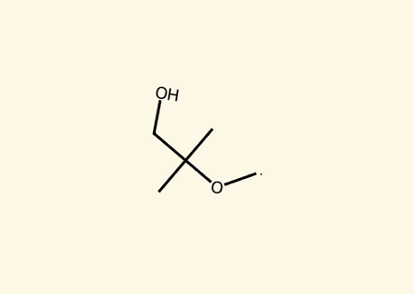 [CH2]OC(C)(C)CO